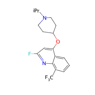 CC(C)N1CCC(Oc2cc(F)nc3c(C(F)(F)F)cccc23)CC1